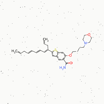 C=CCC=CC=CC=C(CC=C)c1cc2cc(C(N)=O)c(OCCCCN3CCOCC3)cc2s1